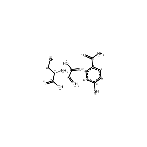 C=CC(=O)O.NC(=O)c1ccc(S)nc1.N[C@@H](CS)C(=O)O